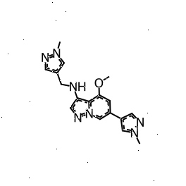 COc1cc(-c2cnn(C)c2)cn2ncc(NCc3cnn(C)c3)c12